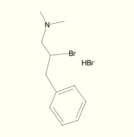 Br.CN(C)CC(Br)Cc1ccccc1